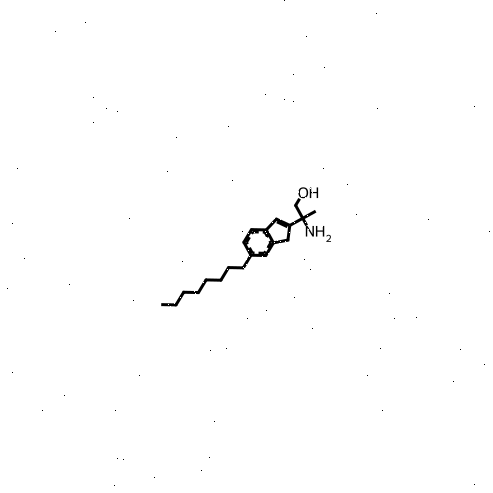 CCCCCCCCc1ccc2c(c1)CC(C(C)(N)CO)=C2